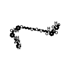 C[C@@H](NC(=O)c1cccc(NCc2nnc(-c3ccncn3)n2C)c1)c1ccc(OCCCCCCOCCOCCOCCCC(=O)Nc2cccc3c2CN(C2CCC(=O)NC2=O)C3=O)cc1